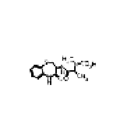 CC(C(=O)NC1CSc2ccccc2NC1=O)N(C)C(=O)O